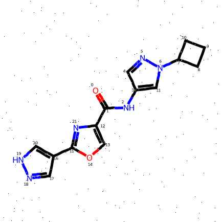 O=C(Nc1cnn(C2CCC2)c1)c1coc(-c2cn[nH]c2)n1